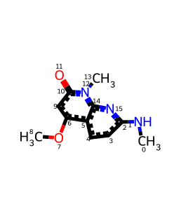 CNc1ccc2c(OC)cc(=O)n(C)c2n1